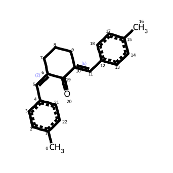 Cc1ccc(/C=C2/CCC/C(=C\c3ccc(C)cc3)C2=O)cc1